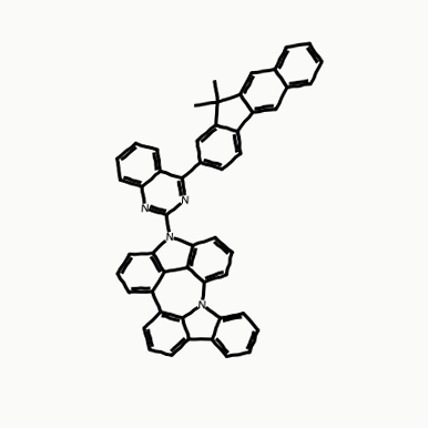 CC1(C)c2cc(-c3nc(-n4c5cccc6c7cccc8c9ccccc9n(c9cccc4c9c65)c78)nc4ccccc34)ccc2-c2cc3ccccc3cc21